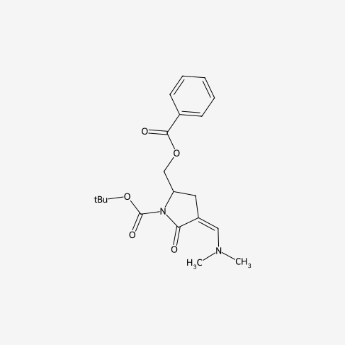 CN(C)C=C1CC(COC(=O)c2ccccc2)N(C(=O)OC(C)(C)C)C1=O